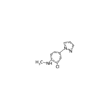 CNc1ccc(-n2cccn2)cc1Cl